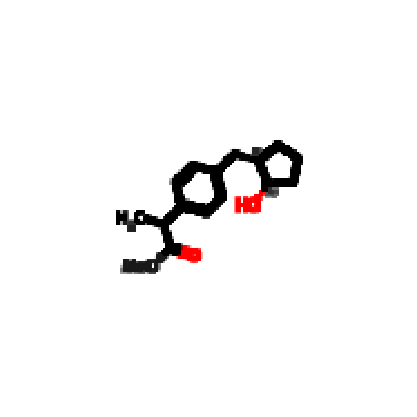 COC(=O)C(C)c1ccc(C[C@H]2CCC[C@@H]2O)cc1